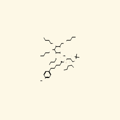 CCCCOCC1OC(OC[C@H](NC(=O)CCCCc2ccc(OC)cc2)[C@@H]2OC(C)(C)O[C@@H]2C(C)CCC)C(OCCCC)C(OCCCC)C1OCCCC